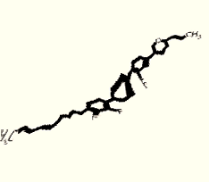 C/C=C/C1CCC(c2ccc(-c3ccc(-c4ccc(CCCCCCCCC)c(F)c4F)cc3)c(F)c2)CO1